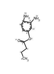 CCCC(=O)Oc1ccc(N)c(N)c1